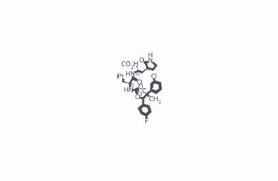 CC(C)C[C@H](NC(=O)OC(c1ccc(F)cc1)C(C)(C)c1cccc(Cl)c1)C(=O)N[C@@H](C[C@@H]1CCNC1=O)C(=O)O